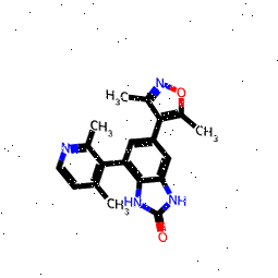 Cc1ccnc(C)c1-c1cc(-c2c(C)noc2C)cc2[nH]c(=O)[nH]c12